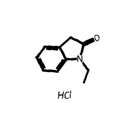 CCN1C(=O)Cc2ccccc21.Cl